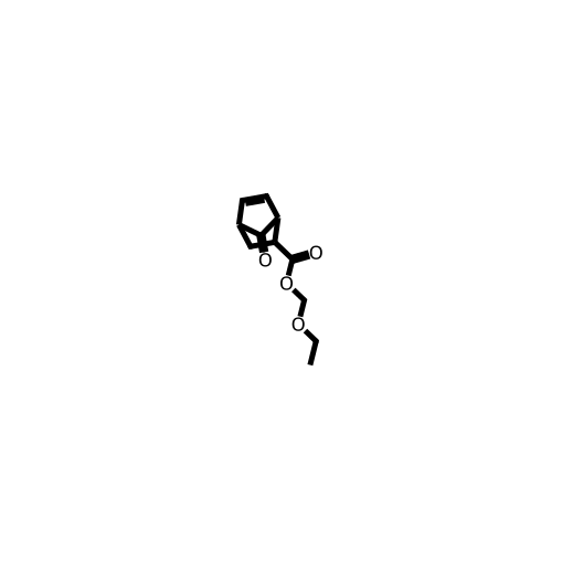 CCOCOC(=O)C1CC2C=CC1C2=O